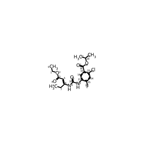 CCOC(=O)C=C(CC)NC(=O)Nc1cc(C(=O)OC(C)C)c(Cl)cc1F